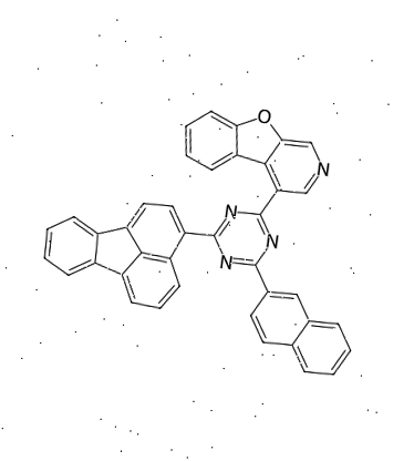 c1ccc2c(c1)-c1cccc3c(-c4nc(-c5ccc6ccccc6c5)nc(-c5cncc6oc7ccccc7c56)n4)ccc-2c13